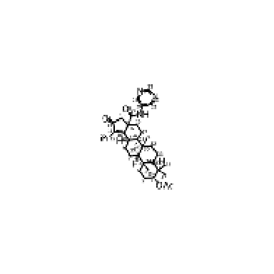 CC(=O)O[C@H]1CC[C@]2(C)[C@H]3CC[C@@H]4C5=C(C(C)C)C(=O)C[C@]5(C(=O)Nc5cncnc5)CC[C@@]4(C)[C@]3(C)CC[C@H]2C1(C)C